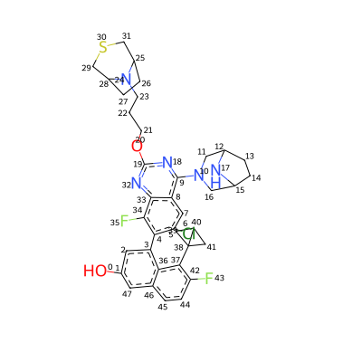 Oc1cc(-c2c(Cl)cc3c(N4CC5CCC(C4)N5)nc(OCCCN4C5CCC4CSC5)nc3c2F)c2c(C34CC3C4)c(F)ccc2c1